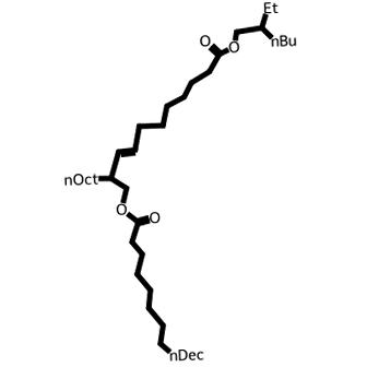 CCCCCCCCCCCCCCCCCC(=O)OCC(/C=C/CCCCCCC(=O)OCC(CC)CCCC)CCCCCCCC